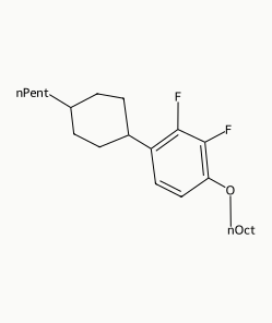 CCCCCCCCOc1ccc(C2CCC(CCCCC)CC2)c(F)c1F